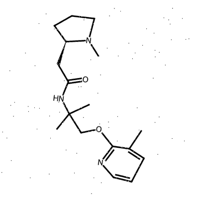 Cc1cccnc1OCC(C)(C)NC(=O)C[C@H]1CCCN1C